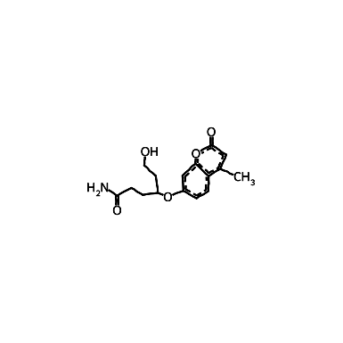 Cc1cc(=O)oc2cc(OC(CCO)CCC(N)=O)ccc12